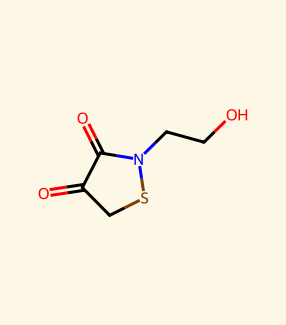 O=C1CSN(CCO)C1=O